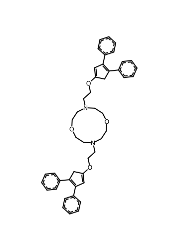 C1=C(OCCN2CCOCCN(CCOC3=CC(c4ccccc4)=C(c4ccccc4)C3)CCOCC2)CC(c2ccccc2)=C1c1ccccc1